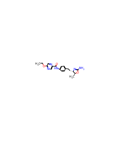 CCOc1cnc(C(=O)Nc2ccc(CC[C@@H]3N=C(N)O[C@H]3C)cc2)cn1